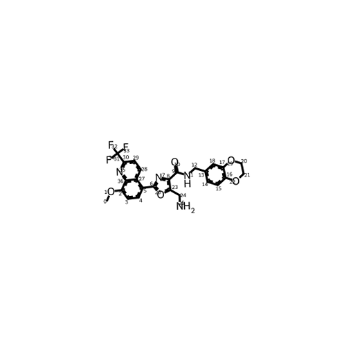 COc1ccc(-c2nc(C(=O)NCc3ccc4c(c3)OCCO4)c(CN)o2)c2ccc(C(F)(F)F)nc12